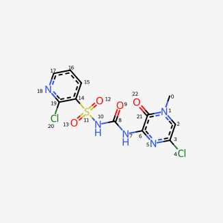 Cn1cc(Cl)nc(NC(=O)NS(=O)(=O)c2cccnc2Cl)c1=O